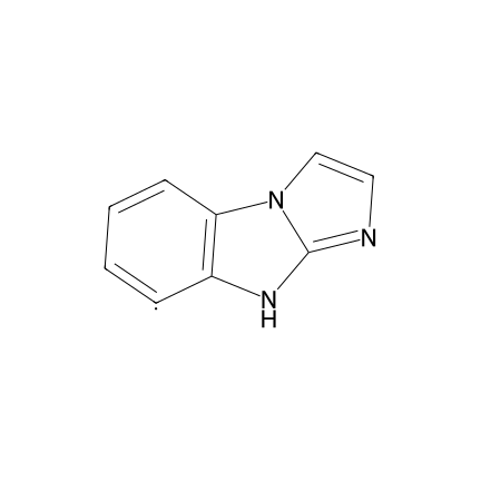 [c]1cccc2c1[nH]c1nccn12